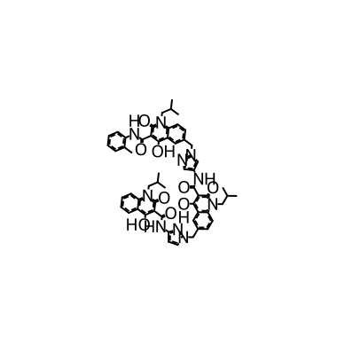 Cc1ccccc1NC(=O)c1c(O)c2cc(Cn3cc(NC(=O)c4c(O)c5cc(Cn6ccc(NC(=O)c7c(O)c8ccccc8n(CC(C)C)c7=O)n6)ccc5n(CC(C)C)c4=O)cn3)ccc2n(CC(C)C)c1=O